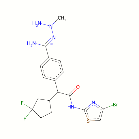 CN(N)/N=C(\N)c1ccc(C(C(=O)Nc2nc(Br)cs2)C2CCC(F)(F)C2)cc1